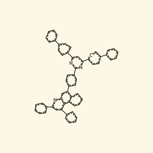 c1ccc(-c2ccc(-c3cc(-c4ccc(-c5ccccc5)cc4)nc(-c4ccc(-c5cc6nc(-c7ccccc7)cc(-c7ccccc7)c6c6ccccc56)cc4)n3)cc2)cc1